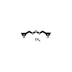 C.C1OC1CSOSCC1CO1